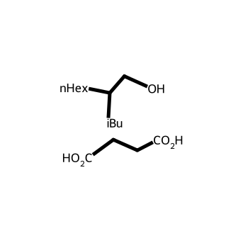 CCCCCCC(CO)C(C)CC.O=C(O)CCC(=O)O